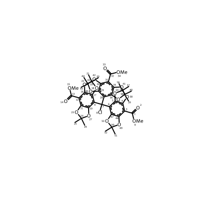 COC(=O)c1c2c(c(C(Cl)(c3c4c(c(C(=O)OC)c5c3OC(C)(C)O5)OC(C)(C)O4)c3c4c(c(C(=O)OC)c5c3OC(C)(C)O5)OC(C)(C)O4)c3c1OC(C)(C)O3)OC(C)(C)O2